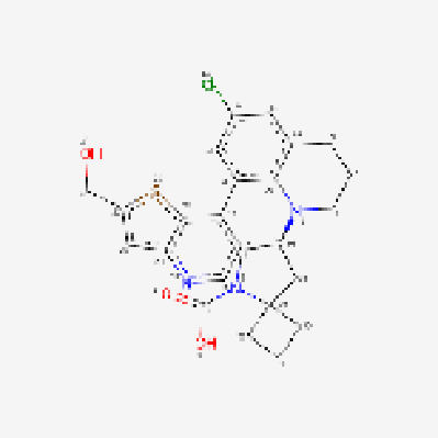 O=C(O)N1C[C@@H](N2CCCc3cc(Cl)cc(-c4ccnc5cc(CO)sc45)c32)CC12CCC2